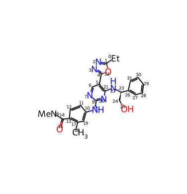 CCc1nnc(-c2cnc(Nc3ccc(C(=O)NC)c(C)c3)nc2N[C@H](CO)c2ccccc2)o1